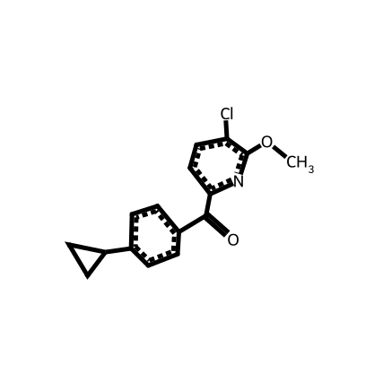 COc1nc(C(=O)c2ccc(C3CC3)cc2)ccc1Cl